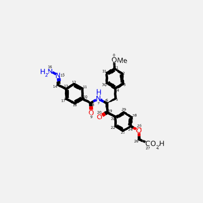 COc1ccc(C[C@H](NC(=O)c2ccc(C=NN)cc2)C(=O)c2ccc(OCC(=O)O)cc2)cc1